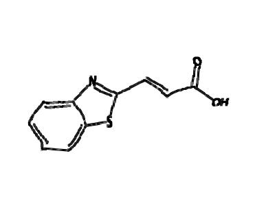 O=C(O)C=Cc1nc2ccccc2s1